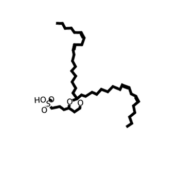 CCCCC/C=C\C/C=C\CCCCCCCCC1(CCCCCCCC/C=C\C/C=C\CCCCC)OCCC(CCCS(=O)(=O)O)O1